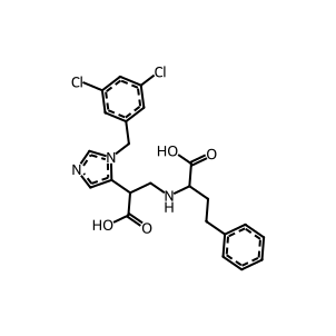 O=C(O)C(CCc1ccccc1)NCC(C(=O)O)c1cncn1Cc1cc(Cl)cc(Cl)c1